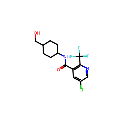 O=C(NC1CCC(CO)CC1)c1cc(Cl)cnc1C(F)(F)F